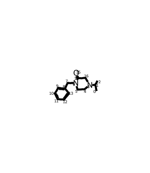 CC(C)N1CCN(Cc2ccccc2)C(=O)C1